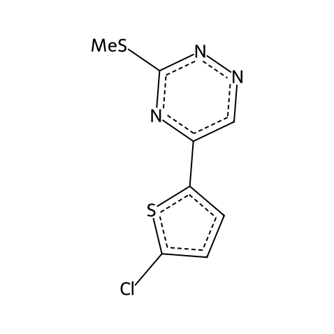 CSc1nncc(-c2ccc(Cl)s2)n1